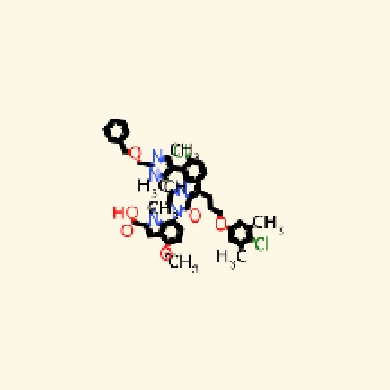 COc1ccc(N2CC(C)n3c(c(CCCOc4cc(C)c(Cl)c(C)c4)c4ccc(Cl)c(-c5c(C)nc(COCc6ccccc6)nc5C)c43)C2=O)c2c1cc(C(=O)O)n2C